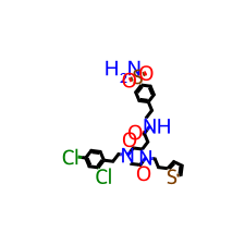 NS(=O)(=O)c1ccc(CCNC(=O)CC2C(=O)N(CCc3ccc(Cl)cc3Cl)CC(=O)N2CCc2cccs2)cc1